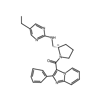 CCc1cnc(NC[C@@H]2CCCN2C(=O)c2c(-c3ccccc3)nc3ccccn23)nc1